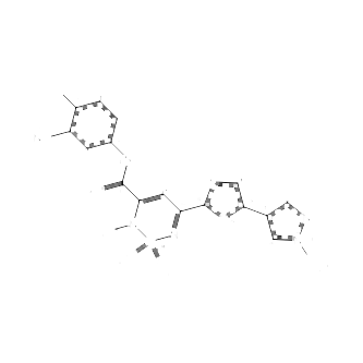 CN1C(C(=O)Nc2ccc(F)c(C#N)c2)=CC(c2ncc(-c3cnn(C)c3)s2)=NS1(=O)=O